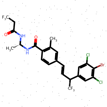 Cc1cc(C=CC(c2cc(Cl)c(Br)c(Cl)c2)C(F)(F)F)ccc1C(=O)N[C@H](C)NC(=O)CC(F)(F)F